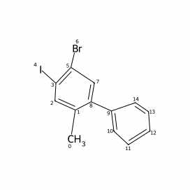 Cc1cc(I)c(Br)cc1-c1ccccc1